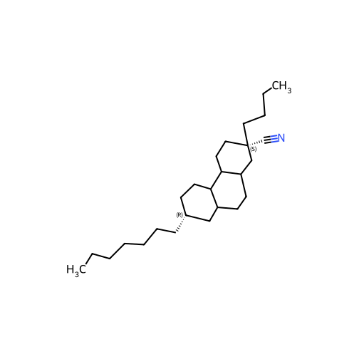 CCCCCCC[C@@H]1CCC2C(CCC3C[C@](C#N)(CCCC)CCC32)C1